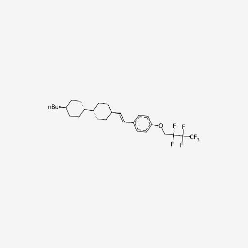 CCCC[C@H]1CC[C@H]([C@H]2CC[C@H](C=Cc3ccc(OCC(F)(F)C(F)(F)C(F)(F)F)cc3)CC2)CC1